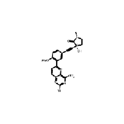 [2H]c1nc(N)c2nc(-c3cc(C#C[C@]4(O)CCN(C)C4=O)ccc3OC)ccc2n1